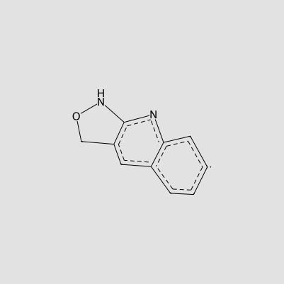 [c]1ccc2cc3c(nc2c1)NOC3